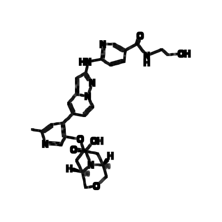 Cc1cc(-c2ccn3nc(Nc4ccc(C(=O)NCCO)cn4)cc3c2)c(OC2C[C@H]3COC[C@@H](C2)N3C(=O)O)cn1